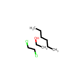 CCCCCC.CCO.ClCCCl